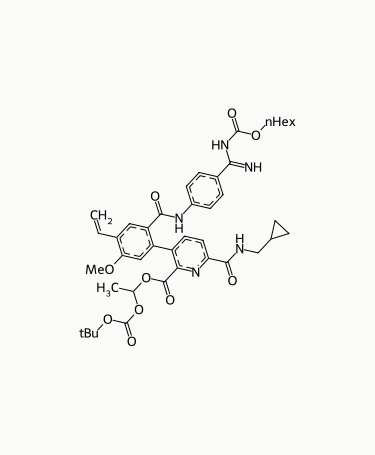 C=Cc1cc(C(=O)Nc2ccc(C(=N)NC(=O)OCCCCCC)cc2)c(-c2ccc(C(=O)NCC3CC3)nc2C(=O)OC(C)OC(=O)OC(C)(C)C)cc1OC